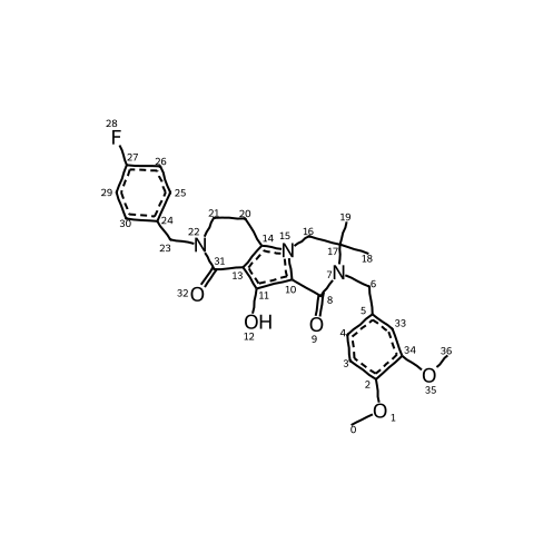 COc1ccc(CN2C(=O)c3c(O)c4c(n3CC2(C)C)CCN(Cc2ccc(F)cc2)C4=O)cc1OC